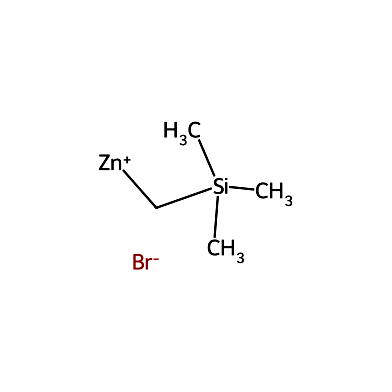 C[Si](C)(C)[CH2][Zn+].[Br-]